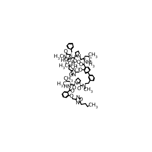 CCCCc1nc(COc2ccccc2C(=O)N[C@H](CC(C)C)C(=O)N2CCC[C@@H]2C(=O)N(C)CCc2cccc(-c3ccc(C(=O)N[C@H](CC(C)C)C(=O)N4CCC[C@@H]4C(=O)N(C)[C@@H](Cc4ccccc4)C(=O)N(C)C)c(OCc4noc(CC(C)(C)C)n4)c3)c2)no1